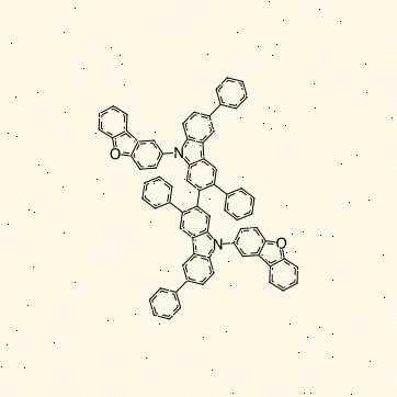 c1ccc(-c2ccc3c(c2)c2cc(-c4ccccc4)c(-c4cc5c(cc4-c4ccccc4)c4cc(-c6ccccc6)ccc4n5-c4ccc5oc6ccccc6c5c4)cc2n3-c2ccc3oc4ccccc4c3c2)cc1